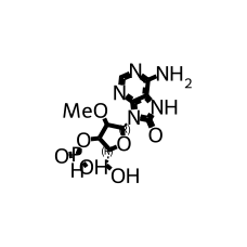 COC1C(O[PH](=O)O)[C@@H](CO)O[C@H]1n1c(=O)[nH]c2c(N)ncnc21